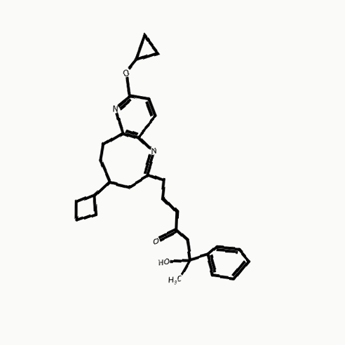 CC(O)(CC(=O)CCC/C1=N/c2ccc(OC3CC3)nc2CCC(C2CCC2)C1)c1ccccc1